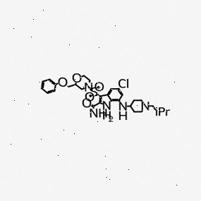 CC(C)CN1CCC(Nc2cc(Cl)cc3c(S(=O)(=O)N4CCOC(COc5ccccc5)C4)c(C(N)=O)[nH]c23)CC1